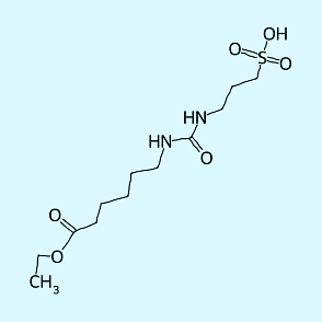 CCOC(=O)CCCCCNC(=O)NCCCS(=O)(=O)O